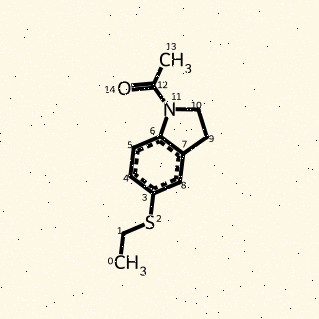 CCSc1ccc2c(c1)CCN2C(C)=O